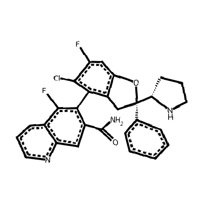 NC(=O)c1cc2ncccc2c(F)c1-c1c(Cl)c(F)cc2c1C[C@](c1ccccc1)([C@@H]1CCCN1)O2